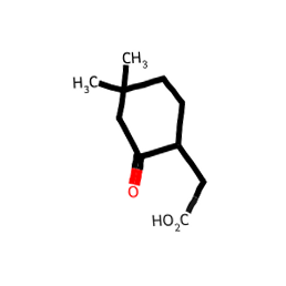 CC1(C)CCC(CC(=O)O)C(=O)C1